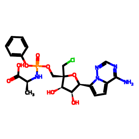 C[C@H](NP(=O)(OC[C@@]1(CCl)O[C@@H](c2ccc3c(N)ncnn23)[C@H](O)[C@@H]1O)Oc1ccccc1)C(=O)O